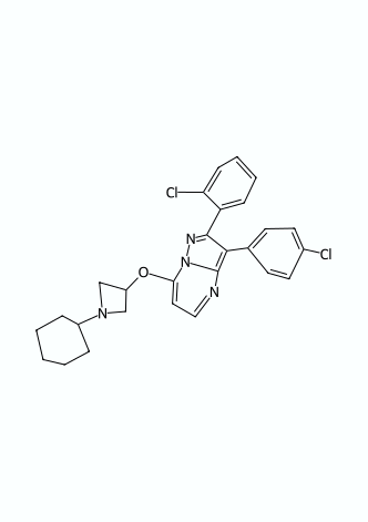 Clc1ccc(-c2c(-c3ccccc3Cl)nn3c(OC4CN(C5CCCCC5)C4)ccnc23)cc1